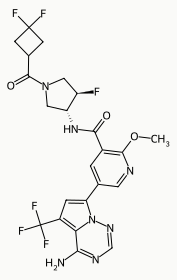 COc1ncc(-c2cc(C(F)(F)F)c3c(N)ncnn23)cc1C(=O)N[C@@H]1CN(C(=O)C2CC(F)(F)C2)C[C@H]1F